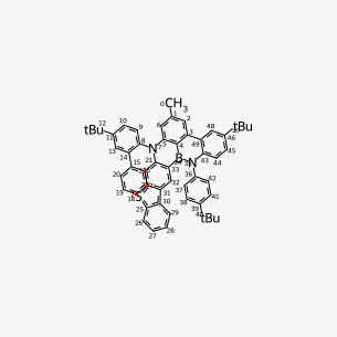 Cc1cc2c3c(c1)N(c1ccc(C(C)(C)C)cc1-c1ccccc1)c1cc4sc5ccccc5c4cc1B3N(c1ccc(C(C)(C)C)cc1)c1ccc(C(C)(C)C)cc1-2